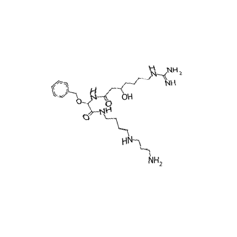 N=C(N)NCCCCC(O)CC(=O)NC(OCc1ccccc1)C(=O)NCCCCNCCCN